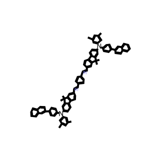 Cc1cc(C)cc(N(c2ccc(-c3ccc4ccccc4c3)cc2)c2ccc3c(c2)C(C)(C)c2cc(/C=C/c4ccc(/C=C/c5ccc6c(c5)C(C)(C)c5cc(N(c7ccc(-c8ccc9ccccc9c8)cc7)c7cc(C)cc(C)c7)ccc5-6)cc4)ccc2-3)c1